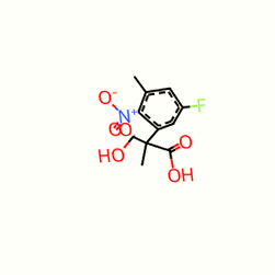 Cc1cc(F)cc(C(C)(C(=O)O)C(=O)O)c1[N+](=O)[O-]